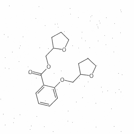 O=C(OCC1CCCO1)c1ccccc1OCC1CCCO1